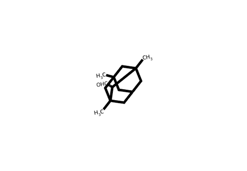 CC12CC3CC(C)(C1)C(C=O)C(C)(C3)C2